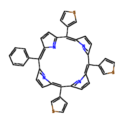 C1=CC2=C(c3ccccc3)C3=NC(=C(c4ccsc4)C4=NC(=C(c5ccsc5)C5=NC(=C(c6ccsc6)C1=N2)C=C5)C=C4)C=C3